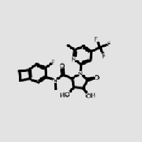 Cc1cc(C(F)(F)F)cc(N2C(=O)C(O)C(O)C2C(=O)N(C)c2cc3c(cc2F)CC3)n1